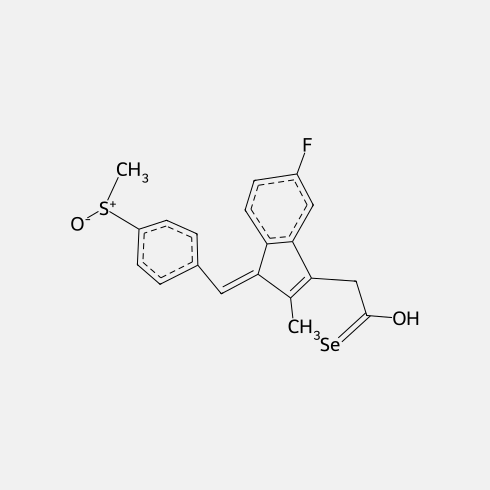 CC1=C(CC(O)=[Se])c2cc(F)ccc2/C1=C\c1ccc([S+](C)[O-])cc1